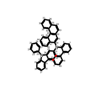 c1ccc(-c2ccccc2N(c2ccc3c4ccccc4n(-c4ccccc4)c3c2)c2cc3ccc4ccccc4c3c3ccccc23)cc1